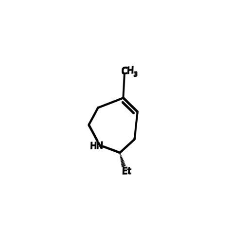 CC[C@H]1CC=C(C)CCN1